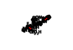 COC(=O)N[C@H](C(=O)N[C@@H](Cc1ccc(-c2cnc(N3CC4CCC(C3)N4C3COC3)nc2)cc1)[C@@H](O)CN(Cc1c(F)cc(-c2ncccn2)cc1F)NC(=O)[C@@H](NC(=O)O)C(C)(C)C(F)(F)F)C(C)(C)C(F)(F)F